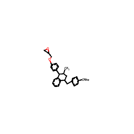 COc1ccc(CC2CC(C)C(c3ccc(OCC4CO4)cc3)c3ccccc32)cc1